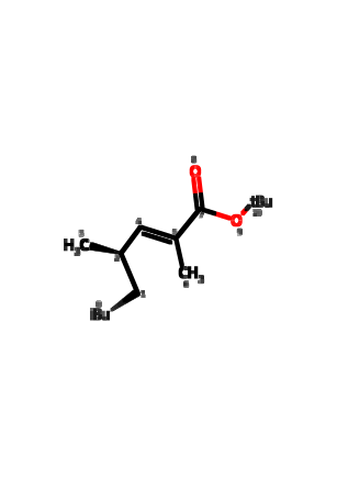 CC[C@H](C)C[C@@H](C)/C=C(\C)C(=O)OC(C)(C)C